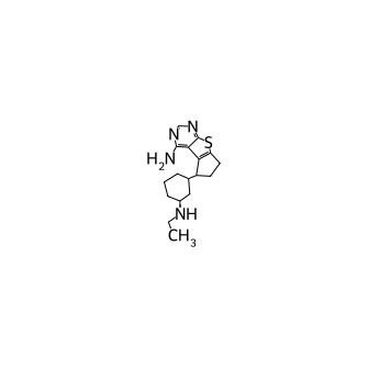 CCN[C@H]1CCCC(C2CCc3sc4ncnc(N)c4c32)C1